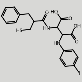 O=C(NC(C(=O)O)C(Nc1ccc(I)cc1)C(=O)O)C(CS)Cc1ccccc1